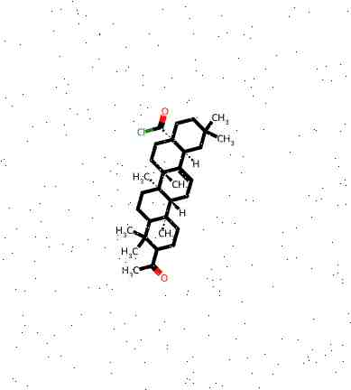 CC(=O)C1CC[C@@]2(C)C(CC[C@]3(C)[C@@H]2CC=C2[C@@H]4CC(C)(C)CC[C@]4(C(=O)Cl)CC[C@]23C)C1(C)C